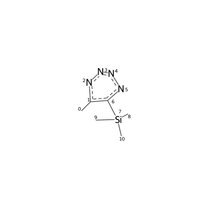 Cc1nnnnc1[Si](C)(C)C